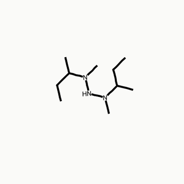 CCC(C)N(C)NN(C)C(C)CC